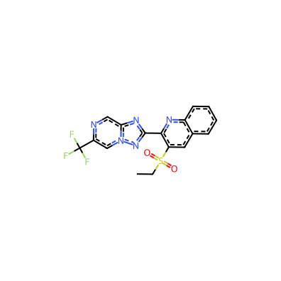 CCS(=O)(=O)c1cc2ccccc2nc1-c1nc2cnc(C(F)(F)F)cn2n1